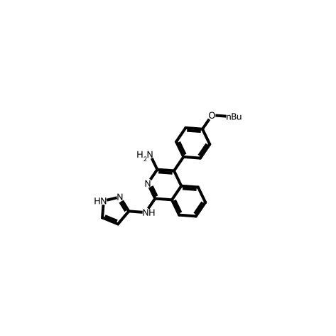 CCCCOc1ccc(-c2c(N)nc(Nc3cc[nH]n3)c3ccccc23)cc1